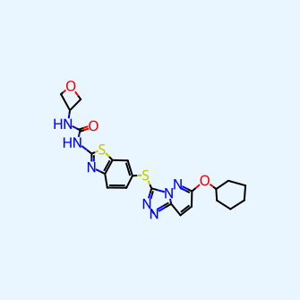 O=C(Nc1nc2ccc(Sc3nnc4ccc(OC5CCCCC5)nn34)cc2s1)NC1COC1